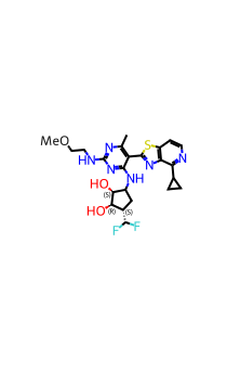 COCCNc1nc(C)c(-c2nc3c(C4CC4)nccc3s2)c(NC2C[C@H](C(F)F)[C@@H](O)[C@H]2O)n1